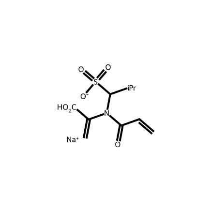 C=CC(=O)N(C(=C)C(=O)O)C(C(C)C)S(=O)(=O)[O-].[Na+]